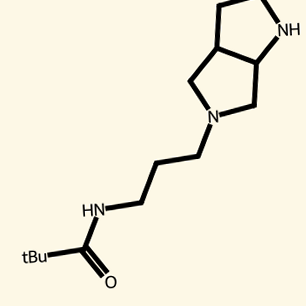 CC(C)(C)C(=O)NCCCN1CC2CCNC2C1